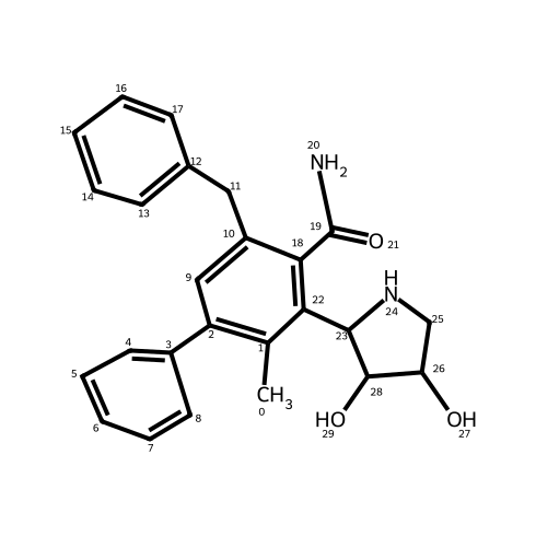 Cc1c(-c2ccccc2)cc(Cc2ccccc2)c(C(N)=O)c1C1NCC(O)C1O